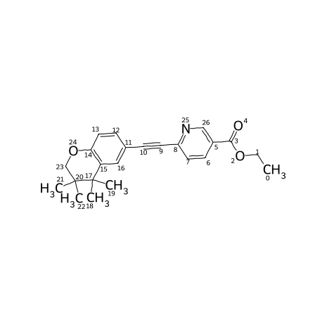 CCOC(=O)c1ccc(C#Cc2ccc3c(c2)C(C)(C)C(C)(C)CO3)nc1